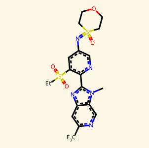 CCS(=O)(=O)c1cc(N=S2(=O)CCOCC2)cnc1-c1nc2cc(C(F)(F)F)ncc2n1C